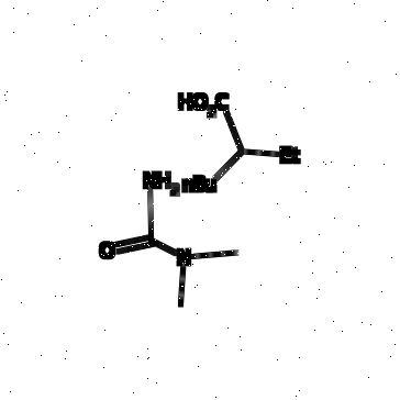 CCCCC(CC)C(=O)O.CN(C)C(N)=O